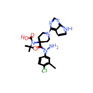 Cc1cc(N(N)C(=O)C2(N(C(=O)O)C(C)(C)C)CCN(c3ncnc4[nH]ccc34)CC2)ccc1Cl